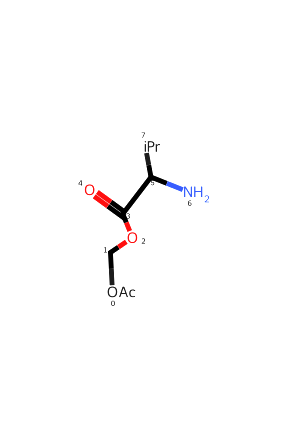 CC(=O)OCOC(=O)C(N)C(C)C